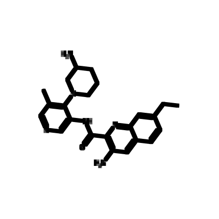 CCc1ccc2cc(N)c(C(=O)Nc3cncc(C)c3N3CCCC(N)C3)nc2c1